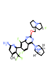 Cc1cc(N)nc(-c2c(F)cc3c(N4C[C@H]5CC[C@@H](C4)N5)nc(OC[C@@]45CCCN4C[C@H](F)C5)nc3c2F)c1C(F)(F)F